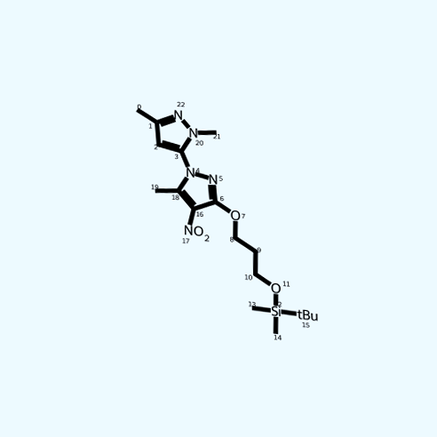 Cc1cc(-n2nc(OCCCO[Si](C)(C)C(C)(C)C)c([N+](=O)[O-])c2C)n(C)n1